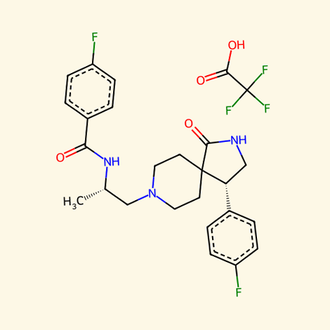 C[C@@H](CN1CCC2(CC1)C(=O)NC[C@@H]2c1ccc(F)cc1)NC(=O)c1ccc(F)cc1.O=C(O)C(F)(F)F